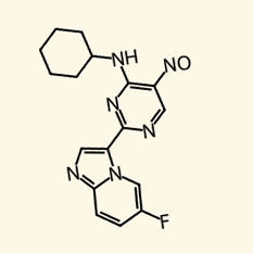 O=Nc1cnc(-c2cnc3ccc(F)cn23)nc1NC1CCCCC1